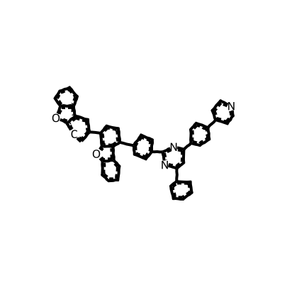 c1ccc(-c2cc(-c3ccc(-c4ccncc4)cc3)nc(-c3ccc(-c4ccc(-c5ccc6oc7ccccc7c6c5)c5oc6ccccc6c45)cc3)n2)cc1